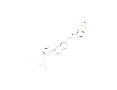 C=CS(=O)(=O)c1cccc(C(=O)NCc2cc3nc(-c4cccc(N5C[C@@H](C)O[C@@H](C)C5)n4)ccc3cn2)c1